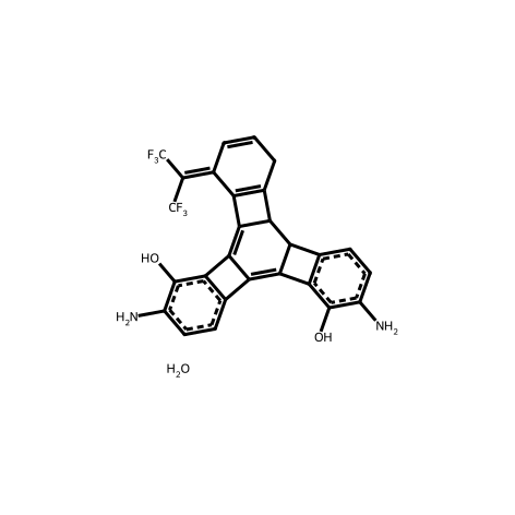 Nc1ccc2c(c1O)C1=C3C4=C(CC=CC4=C(C(F)(F)F)C(F)(F)F)C3C3C(=C12)c1c3ccc(N)c1O.O